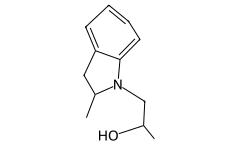 CC(O)CN1c2ccccc2CC1C